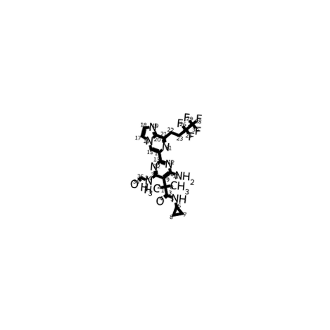 CC(C)(C(=O)NC1CC1)c1c(N)nc(-c2cn3ccnc3c(CCC(F)(F)C(F)(F)F)n2)nc1NC=O